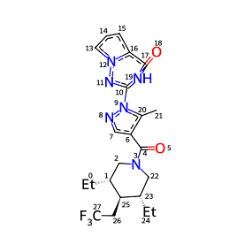 CC[C@@H]1CN(C(=O)c2cnn(-c3nn4cccc4c(=O)[nH]3)c2C)C[C@H](CC)[C@H]1CC(F)(F)F